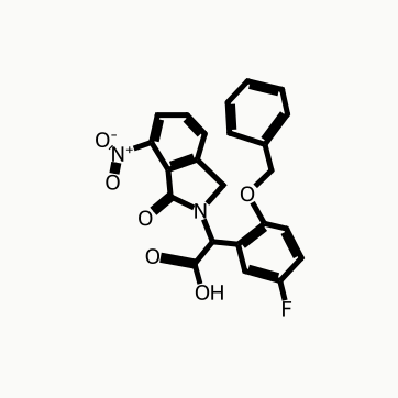 O=C(O)C(c1cc(F)ccc1OCc1ccccc1)N1Cc2cccc([N+](=O)[O-])c2C1=O